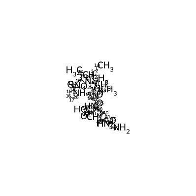 CCCCCCN(C(=O)C(C=NC(=O)C1CCCCN1)[C@@H](C)CC)[C@H](C[C@@H](OC(C)=O)c1nc(C(=O)N[C@@H](Cc2ccc(NC(=O)CN)c(F)c2)CC(C)(C)C(=O)O)cs1)C(C)C